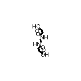 O=C(O)/C=C\C(=O)NCCNC(=O)/C=C\C(=O)O